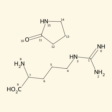 N=C(N)NCCCC(N)C(=O)O.O=C1CCCN1